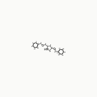 c1ccc(COCC2CC(OCc3ccccc3)CN2)cc1